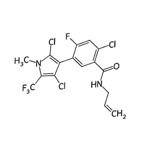 C=CCNC(=O)c1cc(-c2c(Cl)c(C(F)(F)F)n(C)c2Cl)c(F)cc1Cl